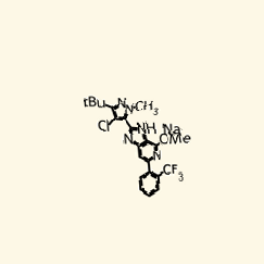 COc1nc(-c2ccccc2C(F)(F)F)cc2nc(-c3c(Cl)c(C(C)(C)C)nn3C)[nH]c12.[Na]